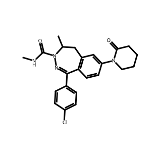 CNC(=O)N1N=C(c2ccc(Cl)cc2)c2ccc(N3CCCCC3=O)cc2CC1C